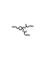 CCCCCCCCCCCC(=O)OCC1(COC(=O)CCCCCCCCCCC)CCN(CCO)CC1